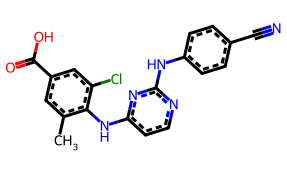 Cc1cc(C(=O)O)cc(Cl)c1Nc1ccnc(Nc2ccc(C#N)cc2)n1